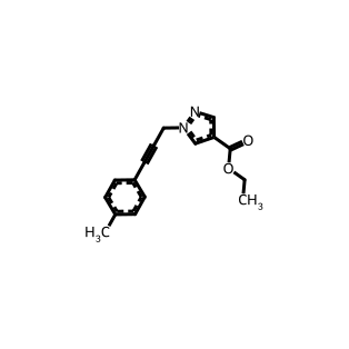 CCOC(=O)c1cnn(CC#Cc2ccc(C)cc2)c1